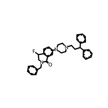 O=C1c2cc(N3CCN(CCC(c4ccccc4)c4ccccc4)CC3)ccc2C(F)CN1Cc1ccccc1